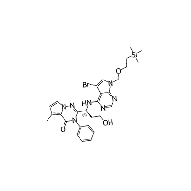 Cc1ccn2nc([C@H](CCO)Nc3ncnc4c3c(Br)cn4COCC[Si](C)(C)C)n(-c3ccccc3)c(=O)c12